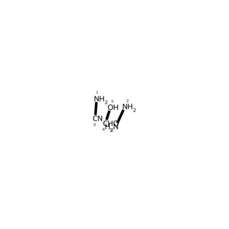 N#CN.NN.O=CO